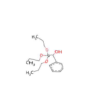 CCCO[Si](OCCC)(OCCC)C(O)c1ccccc1